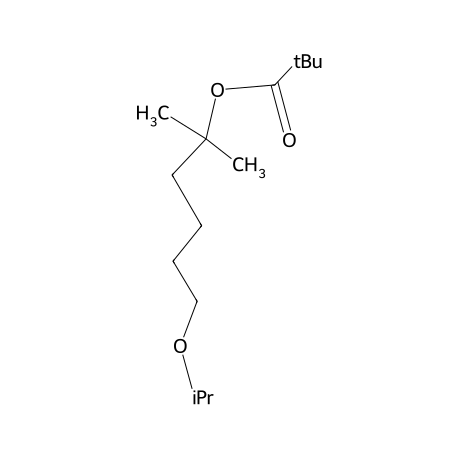 CC(C)OCCCCC(C)(C)OC(=O)C(C)(C)C